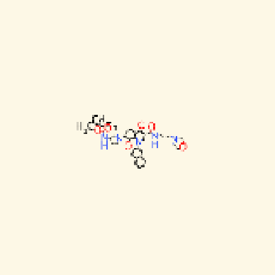 CC(C)(C)OC(=O)NC1CCN(c2ccc3c(=O)c(C(=O)NCCCN4CCOCC4)cn4c3c2Oc2cc3ccccc3cc2-4)C1